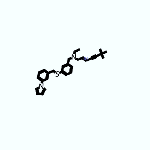 CCN(C/C=C/C#CC(C)(C)C)Cc1cccc(SCc2cccc(-n3cccc3)c2)c1